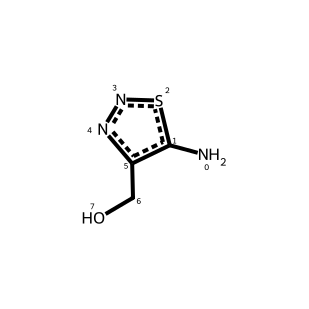 Nc1snnc1CO